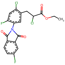 CCOC(=O)C(Cl)Cc1cc(N2C(=O)c3ccc(F)cc3C2=O)c(F)cc1Cl